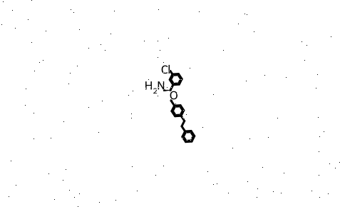 NC[C@H](OCc1ccc(CCc2ccccc2)cc1)c1cccc(Cl)c1